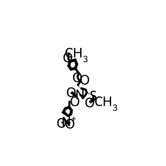 COc1ccc(COC(=O)C[C@@H]2C[C@H](SC(C)=O)CN2C(=O)OCc2ccc([N+](=O)[O-])cc2)cc1